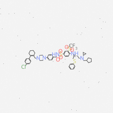 O=C(NS(=O)(=O)c1ccc(N[C@H](CCN(CC2CCCC2)C2CC2)CSc2ccccc2)c(S(=O)(=O)C(F)(F)F)c1)c1ccc(N2CCN(CC3=C(c4ccc(Cl)cc4)CCCC3)CC2)cc1